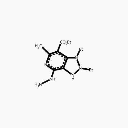 CCOC(=O)c1c(C)nc(NN)c2c1N(CC)N(CC)N2